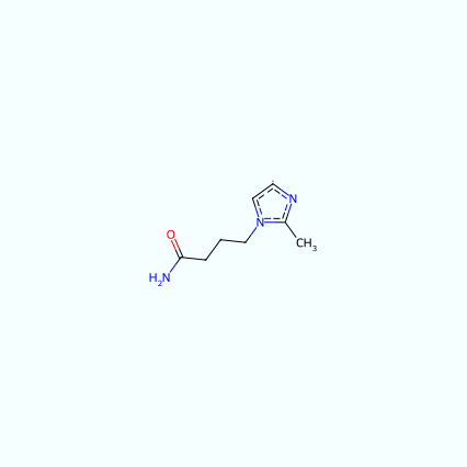 Cc1n[c]cn1CCCC(N)=O